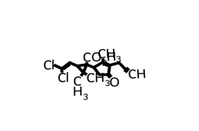 C#CCC1=C(C)C(C2(C(=O)O)C(C=C(Cl)Cl)C2(C)C)CC1=O